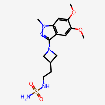 COc1cc2c(N3CC(CCNS(N)(=O)=O)C3)nn(C)c2cc1OC